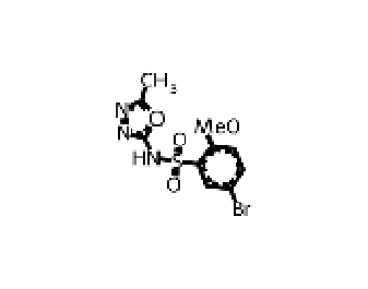 COc1ccc(Br)cc1S(=O)(=O)Nc1nnc(C)o1